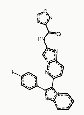 O=C(Nc1cn2nc(-c3c(-c4ccc(F)cc4)nc4ccccn34)ccc2n1)c1ccon1